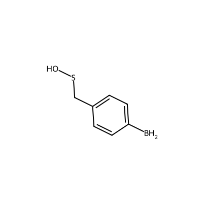 Bc1ccc(CSO)cc1